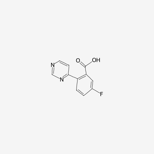 O=C(O)c1cc(F)ccc1-c1ccncn1